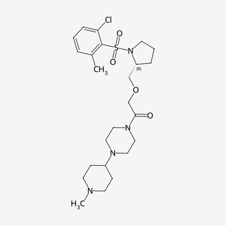 Cc1cccc(Cl)c1S(=O)(=O)N1CCC[C@@H]1COCC(=O)N1CCN(C2CCN(C)CC2)CC1